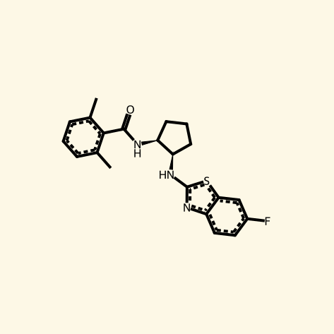 Cc1cccc(C)c1C(=O)N[C@H]1CCC[C@H]1Nc1nc2ccc(F)cc2s1